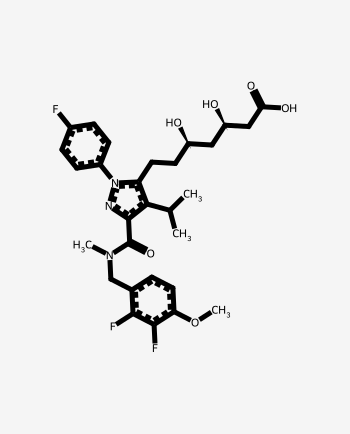 COc1ccc(CN(C)C(=O)c2nn(-c3ccc(F)cc3)c(CC[C@@H](O)C[C@@H](O)CC(=O)O)c2C(C)C)c(F)c1F